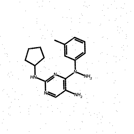 Cc1cccc(N(N)c2nc(NC3CCCC3)ncc2N)c1